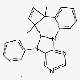 CC12C=CC1(C)C1N(c3ccccc3)c3cncnc3N1c1ccccc12